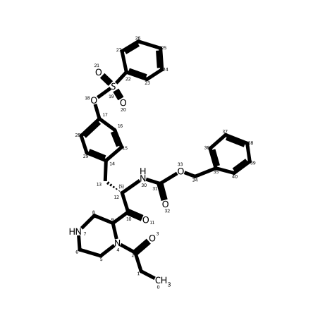 CCC(=O)N1CCNCC1C(=O)[C@H](Cc1ccc(OS(=O)(=O)c2ccccc2)cc1)NC(=O)OCc1ccccc1